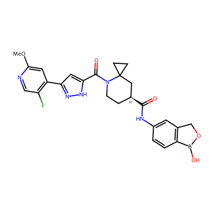 COc1cc(-c2cc(C(=O)N3CC[C@H](C(=O)Nc4ccc5c(c4)COB5O)CC34CC4)[nH]n2)c(F)cn1